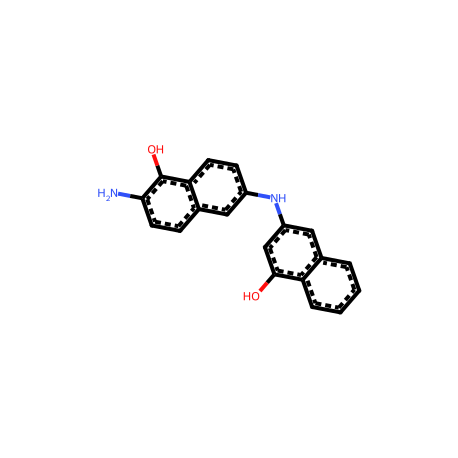 Nc1ccc2cc(Nc3cc(O)c4ccccc4c3)ccc2c1O